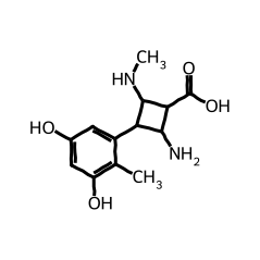 CNC1C(C(=O)O)C(N)C1c1cc(O)cc(O)c1C